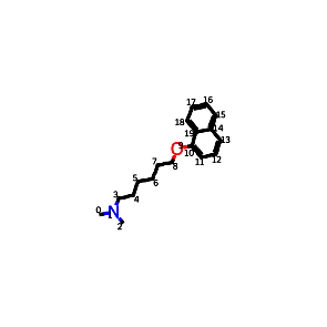 CN(C)CCCCCCOc1cccc2ccccc12